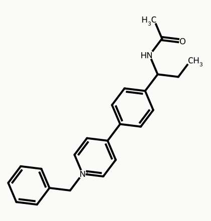 CCC(NC(C)=O)c1ccc(-c2cc[n+](Cc3ccccc3)cc2)cc1